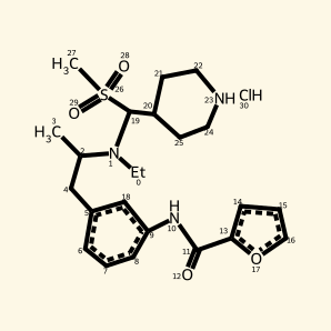 CCN(C(C)Cc1cccc(NC(=O)c2ccco2)c1)C(C1CCNCC1)S(C)(=O)=O.Cl